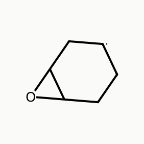 [CH]1CCC2OC2C1